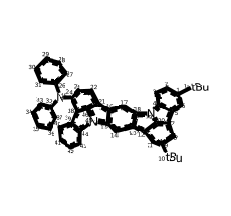 CC(C)(C)c1ccc2c(c1)c1cc(C(C)(C)C)cc3c4cc5c(cc4n2c13)c1ccc(N(c2ccccc2)c2ccccc2)c2c3ccccc3n5c12